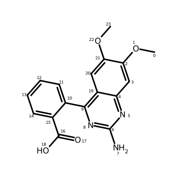 COc1cc2nc(N)nc(-c3ccccc3C(=O)O)c2cc1OC